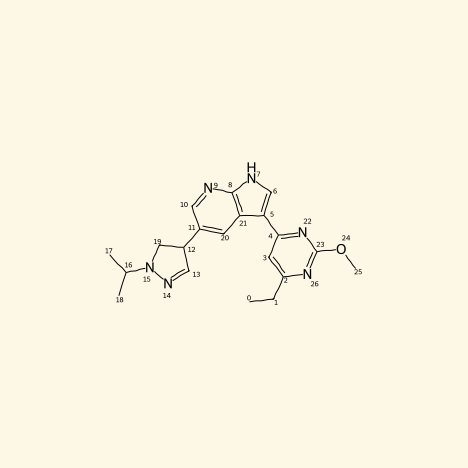 CCc1cc(-c2c[nH]c3ncc(C4C=NN(C(C)C)C4)cc23)nc(OC)n1